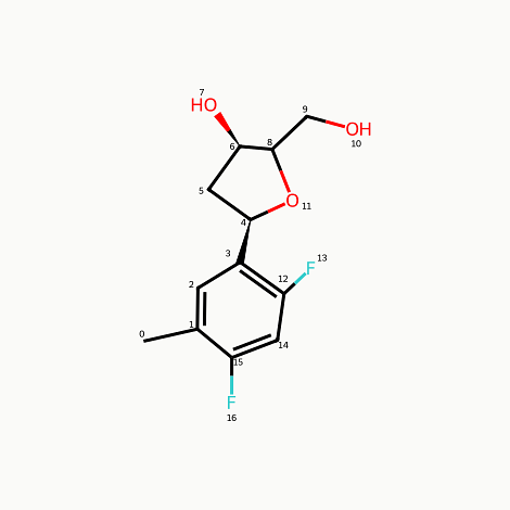 Cc1cc([C@H]2C[C@@H](O)C(CO)O2)c(F)cc1F